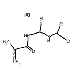 C=C(C)C(=O)NC(CC)NC(CC)CC.Cl